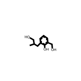 CC(CO)Cc1cccc(CO)c1O